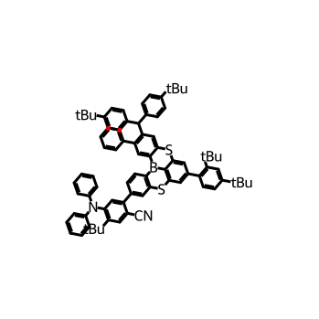 CC(C)(C)c1ccc(C(c2ccc(C(C)(C)C)cc2)c2cc3c(cc2-c2ccccc2)B2c4ccc(-c5cc(N(c6ccccc6)c6ccccc6)c(C(C)(C)C)cc5C#N)cc4Sc4cc(-c5ccc(C(C)(C)C)cc5C(C)(C)C)cc(c42)S3)cc1